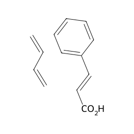 C=CC=C.O=C(O)C=Cc1ccccc1